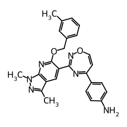 Cc1cccc(COc2nc3c(cc2C2=NOC=CC(c4ccc(N)cc4)=N2)c(C)nn3C)c1